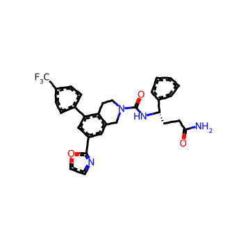 NC(=O)CC[C@H](NC(=O)N1CCc2c(cc(-c3ncco3)cc2-c2ccc(C(F)(F)F)cc2)C1)c1ccccc1